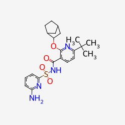 CC(C)(C)c1ccc(C(=O)NS(=O)(=O)c2cccc(N)n2)c(OC2CC3CCC2C3)n1